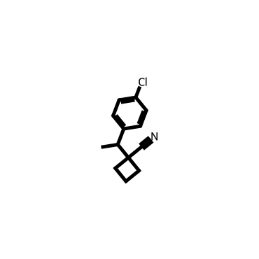 CC(c1ccc(Cl)cc1)C1(C#N)CCC1